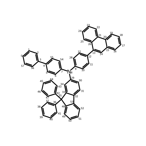 c1ccc(-c2ccc(N(c3ccc(-c4cc5ccccc5c5ccccc45)cc3)c3ccc4c(c3)C(c3ccccc3)(c3ccccc3)c3ccccc3-4)cc2)cc1